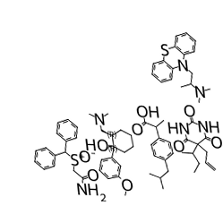 C=CCC1(C(C)CC)C(=O)NC(=O)NC1=O.CC(C)Cc1ccc(C(C)C(=O)O)cc1.CC(CN1c2ccccc2Sc2ccccc21)N(C)C.COc1cccc([C@@]2(O)CCCC[C@@H]2CN(C)C)c1.NC(=O)C[S+]([O-])C(c1ccccc1)c1ccccc1